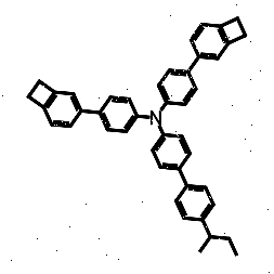 CCC(C)c1ccc(-c2ccc(N(c3ccc(-c4ccc5c(c4)CC5)cc3)c3ccc(-c4ccc5c(c4)CC5)cc3)cc2)cc1